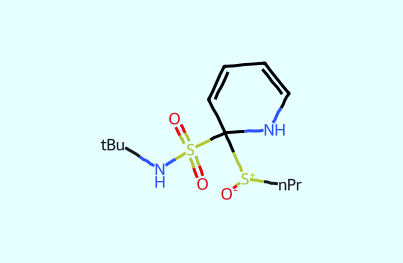 CCC[S+]([O-])C1(S(=O)(=O)NC(C)(C)C)C=CC=CN1